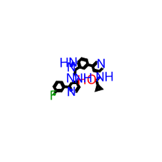 OC(Nc1cncc(-c2ccc3[nH]nc(-c4nc5c(-c6cccc(F)c6)nccc5[nH]4)c3c2)c1)C1CC1